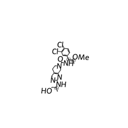 CO[C@H](C)[C@@H](NC(=O)N1CCc2cnc(N[C@@H](C)CO)nc2C1)c1ccc(Cl)c(Cl)c1